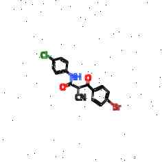 N#CC(C(=O)Nc1ccc(Cl)cc1)C(=O)c1ccc(Br)cc1